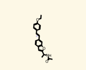 CCOc1ccc(/C=C/c2ccc3cc(C(C)NC(C)=O)oc3c2)cc1